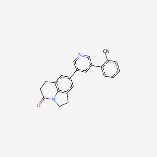 N#Cc1ccccc1-c1cncc(-c2cc3c4c(c2)CCN4C(=O)CC3)c1